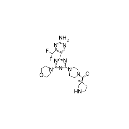 Nc1ncc(-c2nc(N3CCOCC3)nc(N3CCN(C(=O)[C@H]4CCNC4)CC3)n2)c(C(F)F)n1